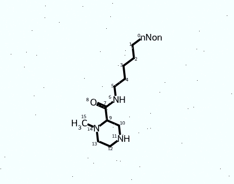 CCCCCCCCCCCCCCNC(=O)C1CNCCN1C